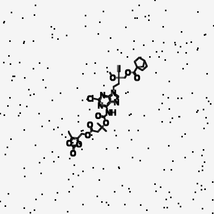 C#CC(CCn1cnc2c(NC(=O)OC(C)(C)CC(=O)OCc3oc(=O)oc3C)nc(Cl)nc21)(COC(=O)C12CCC(CC1)C2)OC